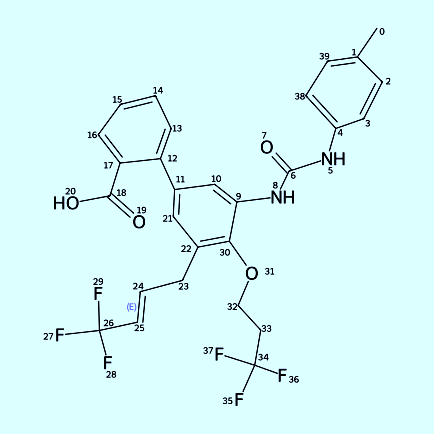 Cc1ccc(NC(=O)Nc2cc(-c3ccccc3C(=O)O)cc(C/C=C/C(F)(F)F)c2OCCC(F)(F)F)cc1